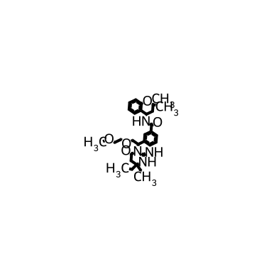 CCC1(CC)CC(=O)N(C(COCCOC)c2cccc(C(=O)N[C@H]3CC(C)(C)Oc4ccccc43)c2)C(=N)N1